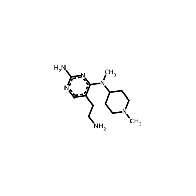 CN1CCC(N(C)c2nc(N)ncc2CCN)CC1